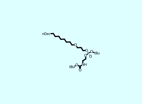 CCCCCCCCCCCCCCCCCCOC[CH]COP(=O)(OCCNC(=O)OC(C)(C)C)OC(C)(C)C